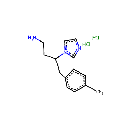 Cl.Cl.NCCC(Cc1ccc(C(F)(F)F)cc1)n1ccnc1